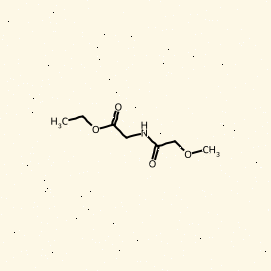 CCOC(=O)CNC(=O)COC